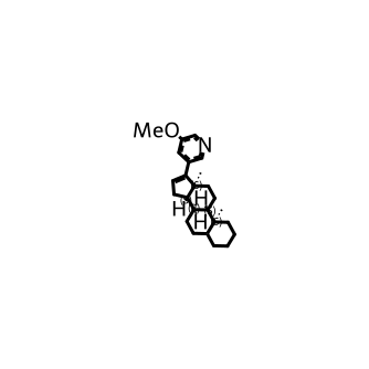 COc1cncc(C2=CC[C@H]3[C@@H]4CCC5CCCC[C@]5(C)[C@H]4CC[C@]23C)c1